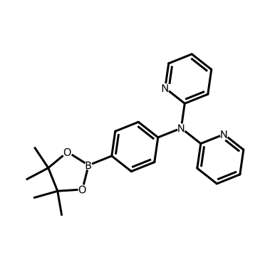 CC1(C)OB(c2ccc(N(c3ccccn3)c3ccccn3)cc2)OC1(C)C